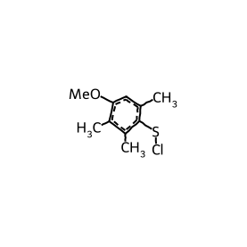 COc1cc(C)c(SCl)c(C)c1C